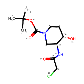 CC(C)(C)OC(=O)N1CC[C@H](O)[C@@H](NC(=O)CCl)C1